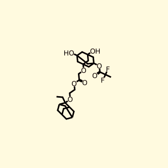 CCC1(OCCOC(=O)COC23CC4(O)CC(O)(C2)CC(OC(=O)C(C)(F)F)(C4)C3)C2CC3CC(C2)CC1C3